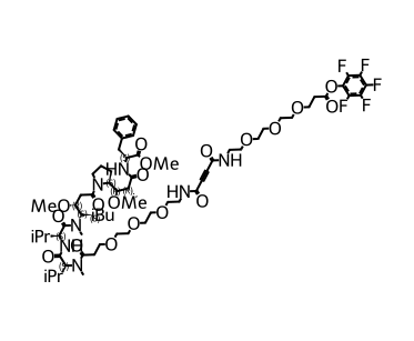 CC[C@H](C)[C@@H]([C@@H](CC(=O)N1CCC[C@H]1[C@H](OC)[C@@H](C)C(=O)N[C@@H](Cc1ccccc1)C(=O)OC)OC)N(C)C(=O)[C@@H](NC(=O)[C@H](C(C)C)N(C)C(=O)CCOCCOCCOCCNC(=O)C#CC(=O)NCCOCCOCCOCCC(=O)Oc1c(F)c(F)c(F)c(F)c1F)C(C)C